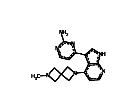 CN1CC2(C1)CN(c1ccnc3[nH]cc(-c4ccnc(N)n4)c13)C2